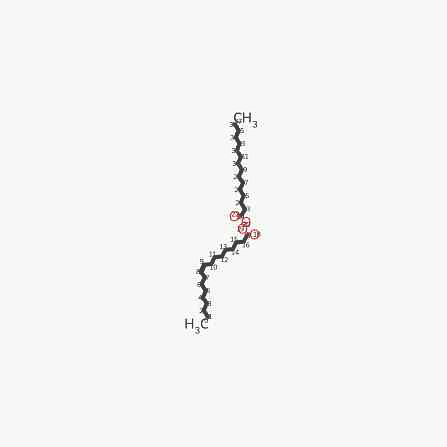 CCCCCCCC/C=C\CCCCCCCC(=O)OOC(=O)CCCCCCCCCCCCCCC